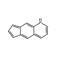 [c]1ccc2cc3cccc3cc2[pH]1